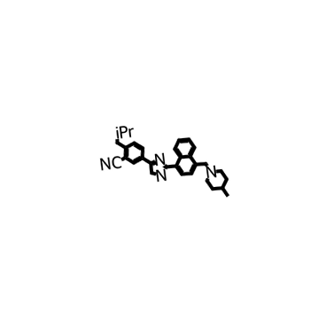 CC(C)Cc1ccc(C2=NC(c3ccc(CN4CCC(C)CC4)c4ccccc34)=NC2)cc1C#N